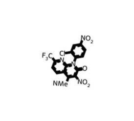 CNc1c([N+](=O)[O-])c(=O)n(-c2ccc([N+](=O)[O-])cc2Cl)c2nc(C(F)(F)F)ccc12